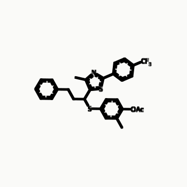 CC(=O)Oc1ccc(SC(CCc2ccccc2)c2sc(-c3ccc(C(F)(F)F)cc3)nc2C)cc1C